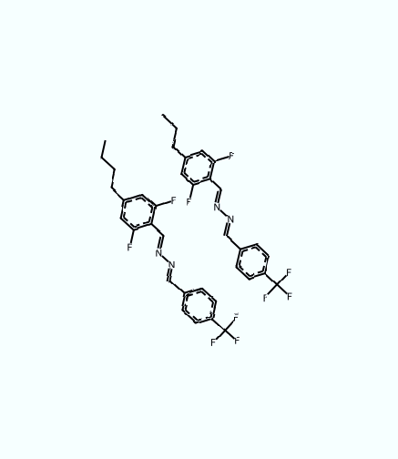 CCCCc1cc(F)c(C=NN=Cc2ccc(C(F)(F)F)cc2)c(F)c1.CCCc1cc(F)c(C=NN=Cc2ccc(C(F)(F)F)cc2)c(F)c1